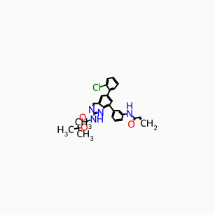 C=CC(=O)Nc1cccc(-c2cc(-c3ccccc3Cl)cc3cnc(NC(=O)OC(C)(C)C)nc23)c1